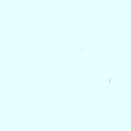 CCC(CCCC(F)(F)F)OC(=O)c1cc[c]cc1